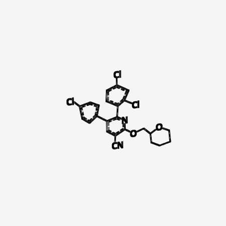 N#Cc1cc(-c2ccc(Cl)cc2)c(-c2ccc(Cl)cc2Cl)nc1OCC1CCCCO1